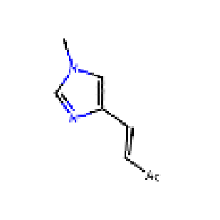 CC(=O)/C=C/c1cn(C)cn1